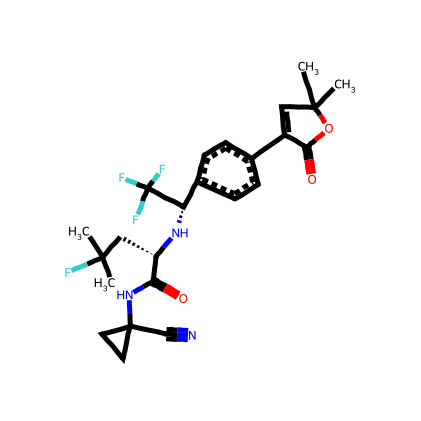 CC(C)(F)C[C@H](N[C@@H](c1ccc(C2=CC(C)(C)OC2=O)cc1)C(F)(F)F)C(=O)NC1(C#N)CC1